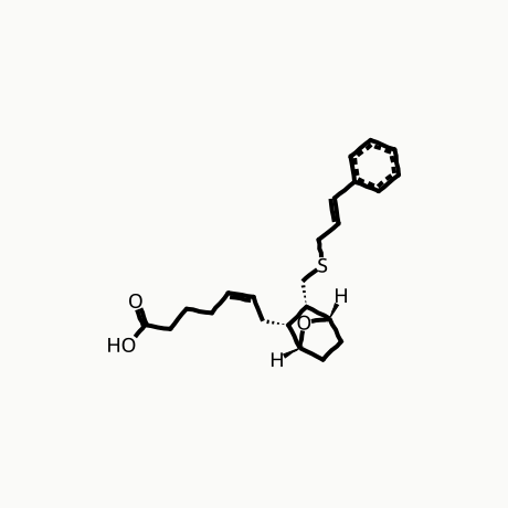 O=C(O)CCC/C=C\C[C@@H]1[C@H](CSC/C=C/c2ccccc2)[C@@H]2CC[C@H]1O2